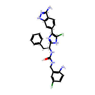 Nc1ccc(Cl)cc1CNC(=O)N[C@@H](Cc1ccccc1)c1nc(-c2ccc3c(N)n[nH]c3c2)c(Cl)[nH]1